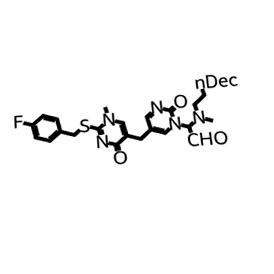 CCCCCCCCCCCCN(C)C(C=O)n1cc(Cc2cn(C)c(SCc3ccc(F)cc3)nc2=O)cnc1=O